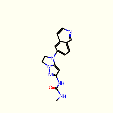 CNC(=O)Nc1cc2n(n1)CCN2c1ccc2cnccc2c1